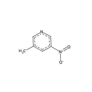 Cc1cncc([N+](=O)[O-])c1